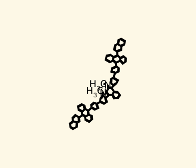 Cn1c2cc(-c3ccc(-c4c5ccccc5c(-c5ccc6ccccc6c5)c5ccccc45)cc3)ccc2c2c3ccccc3c3c4ccc(-c5ccc(-c6c7ccccc7c(-c7ccc8ccccc8c7)c7ccccc67)cc5)cc4n(C)c3c21